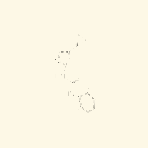 O=C(Nc1ccccc1)Nc1ncc(C2CC2)s1